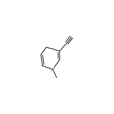 C#CC1=CN(C)C=CC1